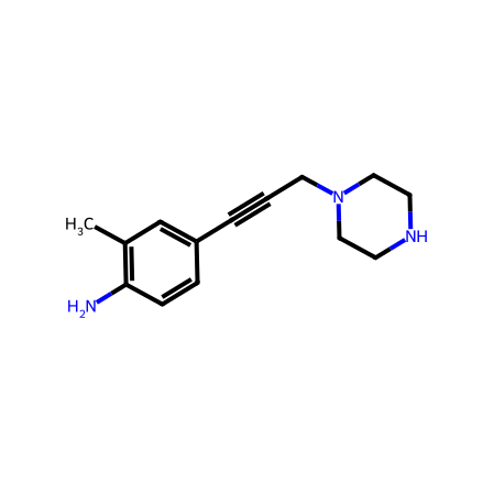 Cc1cc(C#CCN2CCNCC2)ccc1N